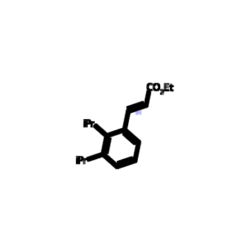 CCOC(=O)/C=C/c1cccc(C(C)C)c1C(C)C